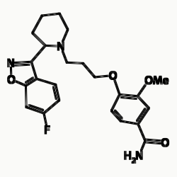 COc1cc(C(N)=O)ccc1OCCCN1CCCCC1c1noc2cc(F)ccc12